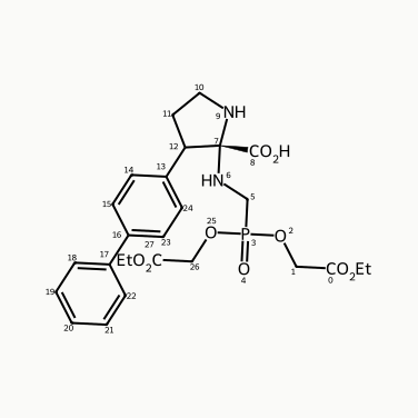 CCOC(=O)COP(=O)(CN[C@@]1(C(=O)O)NCCC1c1ccc(-c2ccccc2)cc1)OCC(=O)OCC